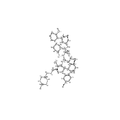 COc1ccccc1-c1nccc(COc2ccccc2C[C@@H](Oc2nsc3cnc(-c4ccc(F)cc4)c(-c4ccc(OCCN5CCN(C)CC5)c(Cl)c4C)c23)C(=O)O)n1